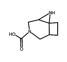 O=C(O)N1CC2CCC23NC3C1